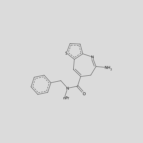 CCCN(Cc1ccccc1)C(=O)C1=Cc2sccc2N=C(N)C1